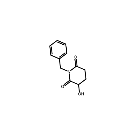 O=C1CCC(O)C(=O)N1Cc1ccccc1